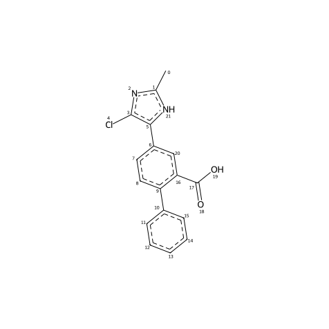 Cc1nc(Cl)c(-c2ccc(-c3ccccc3)c(C(=O)O)c2)[nH]1